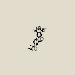 CC(C)(C)OC(=O)N1CCN2c3cc(C(N)=O)c([N+](=O)[O-])cc3OCC2C1